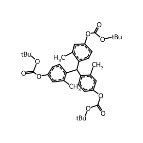 Cc1cc(OC(=O)OC(C)(C)C)ccc1C(c1ccc(OC(=O)OC(C)(C)C)cc1C)c1ccc(OC(=O)OC(C)(C)C)cc1C